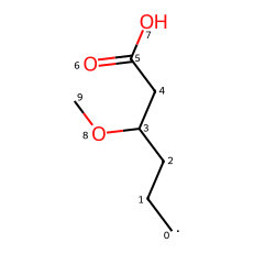 [CH2]CCC(CC(=O)O)OC